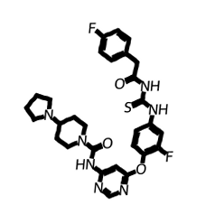 O=C(Cc1ccc(F)cc1)NC(=S)Nc1ccc(Oc2cc(NC(=O)N3CCC(N4CCCC4)CC3)ncn2)c(F)c1